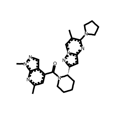 Cc1cc(C(=O)N2CCCC[C@H]2c2cc3nc(N4CCCC4)c(C)cn3n2)c2cnn(C)c2n1